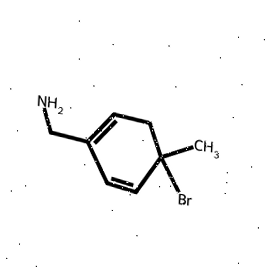 CC1(Br)C=CC(CN)=CC1